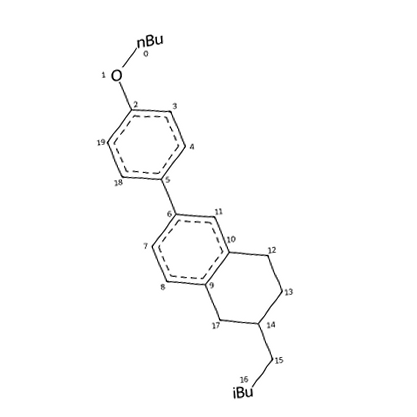 CCCCOc1ccc(-c2ccc3c(c2)CCC(CC(C)CC)C3)cc1